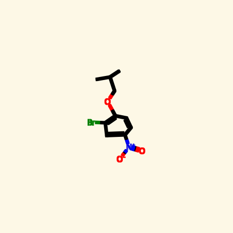 CC(C)COc1ccc([N+](=O)[O-])cc1Br